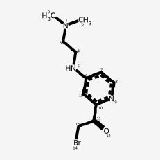 CN(C)CCNc1ccnc(C(=O)CBr)c1